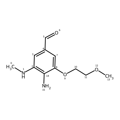 CNc1cc(C=O)cc(OCCOC)c1N